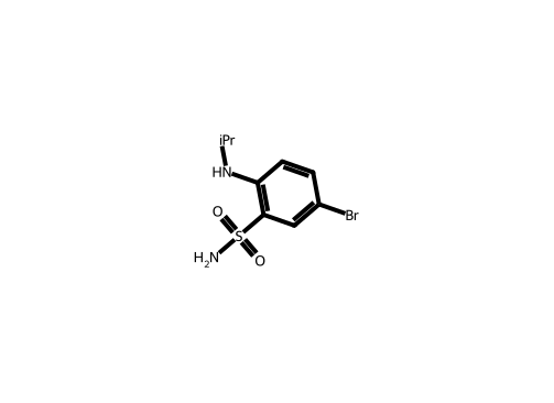 CC(C)Nc1ccc(Br)cc1S(N)(=O)=O